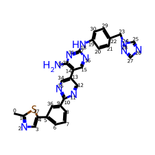 Cc1ncc(-c2cccc(-c3ncc(-c4cnc(Nc5ccc(Cn6cncn6)cc5)nc4N)cn3)c2)s1